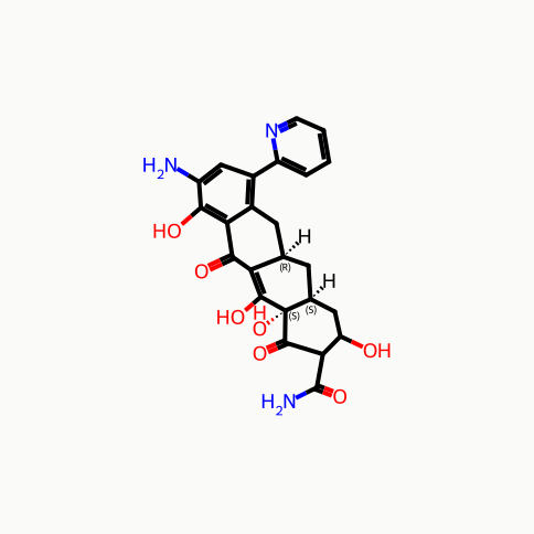 NC(=O)C1C(=O)[C@@]2(O)C(O)=C3C(=O)c4c(O)c(N)cc(-c5ccccn5)c4C[C@H]3C[C@H]2CC1O